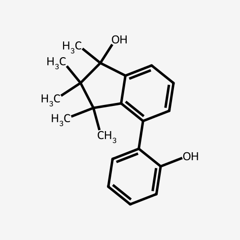 CC1(C)c2c(-c3ccccc3O)cccc2C(C)(O)C1(C)C